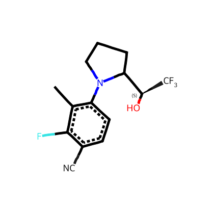 Cc1c(N2CCCC2[C@H](O)C(F)(F)F)ccc(C#N)c1F